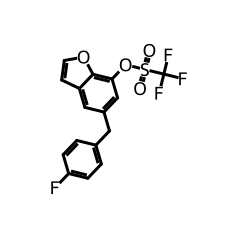 O=S(=O)(Oc1cc(Cc2ccc(F)cc2)cc2ccoc12)C(F)(F)F